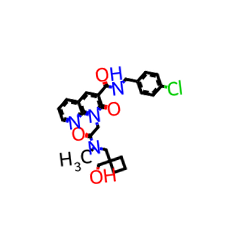 CN(CC1(CO)CCC1)C(=O)Cn1c(=O)c(C(=O)NCc2ccc(Cl)cc2)cc2cccnc21